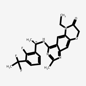 CCN1C(=O)COc2cc3nc(C)nc(N[C@H](C)c4cccc(C(C)(F)F)c4F)c3cc21